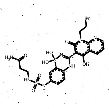 CC(C)CCn1c(=O)c(C2=NS(O)(O)c3cc(NS(=O)(=O)NCCC(N)=O)ccc3N2)c(O)c2cccnc21